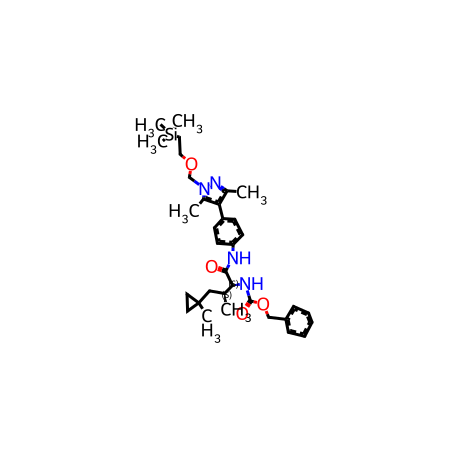 Cc1nn(COCC[Si](C)(C)C)c(C)c1-c1ccc(NC(=O)[C@@H](NC(=O)OCc2ccccc2)[C@@H](C)CC2(C)CC2)cc1